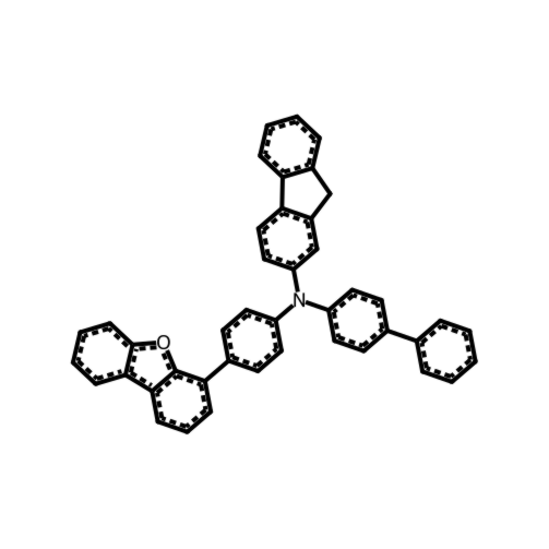 c1ccc(-c2ccc(N(c3ccc(-c4cccc5c4oc4ccccc45)cc3)c3ccc4c(c3)Cc3ccccc3-4)cc2)cc1